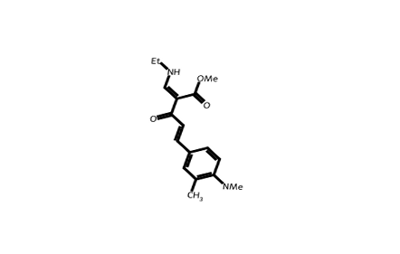 CCNC=C(C(=O)C=Cc1ccc(NC)c(C)c1)C(=O)OC